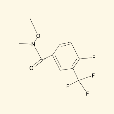 CON(C)C(=O)c1ccc(F)c(C(F)(F)F)c1